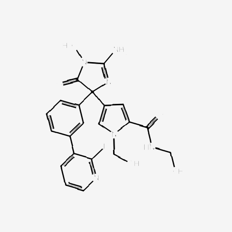 CCNC(=O)c1cc(C2(c3cccc(-c4cccnc4F)c3)N=C(N)N(C)C2=O)cn1CC